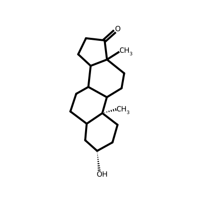 CC12CCC3C(CCC4C[C@@H](O)CC[C@@]43C)C1CCC2=O